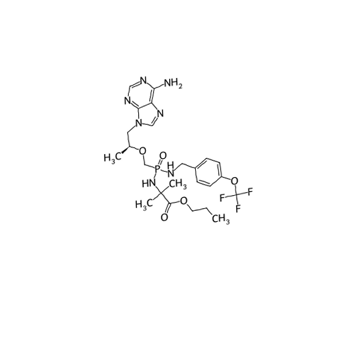 CCCOC(=O)C(C)(C)NP(=O)(CO[C@@H](C)Cn1cnc2c(N)ncnc21)NCc1ccc(OC(F)(F)F)cc1